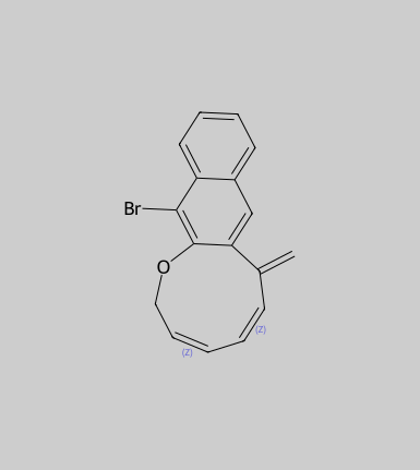 C=C1/C=C\C=C/COc2c1cc1ccccc1c2Br